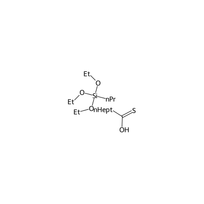 CCCCCCCC(O)=S.CCC[Si](OCC)(OCC)OCC